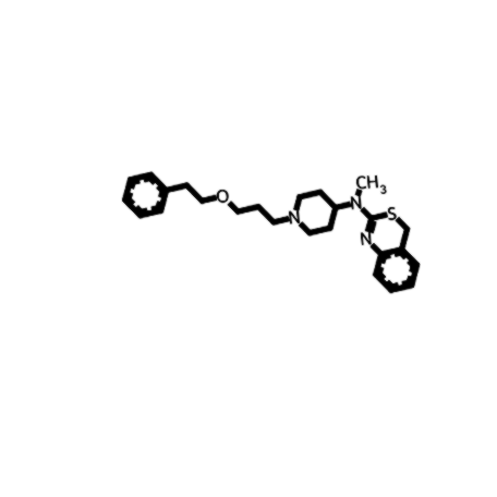 CN(C1=Nc2ccccc2CS1)C1CCN(CCCOCCc2ccccc2)CC1